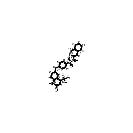 O=c1cc(C(F)(F)F)c2cc(Cc3ccc(S(=O)(=O)Nc4cc5ccccc5cn4)cc3)ccc2[nH]1